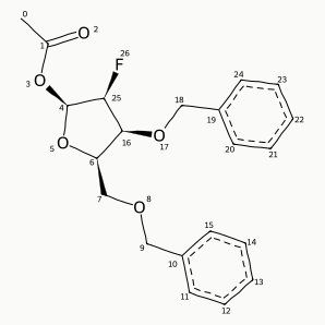 CC(=O)O[C@@H]1O[C@H](COCc2ccccc2)[C@H](OCc2ccccc2)[C@@H]1F